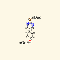 CCCCCCCCCCSc1ncc(-c2ccc(OCCCCCCCC)cc2)cn1